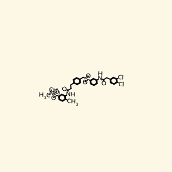 Cc1ccc(S(=O)(=O)N(C)C)cc1NC(=O)CCc1ccc(CS(=O)(=O)c2cccc(NC(=O)Cc3ccc(Cl)c(Cl)c3)c2)cc1